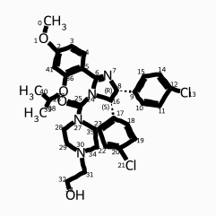 COc1ccc(C2=N[C@H](c3ccc(Cl)cc3)[C@H](c3ccc(Cl)cc3)N2C(=O)N2CCN(CCO)CC2)c(OC(C)C)c1